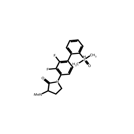 CNC1CCN(c2ccc(-c3ccccc3[SH](C)(C)=O)c(F)c2F)C1=O